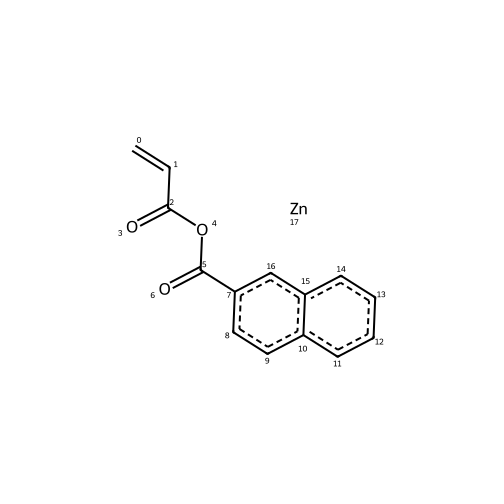 C=CC(=O)OC(=O)c1ccc2ccccc2c1.[Zn]